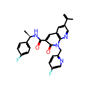 C=C(C)c1cnc2c(c1)cc(C(=O)N[C@H](C)c1ccc(F)cc1)c(=O)n2Cc1ccc(F)cn1